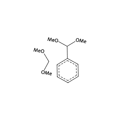 COC(OC)c1ccccc1.COCOC